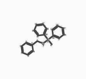 C[Si](OCc1ccccc1)(c1ccccc1)c1ccccc1